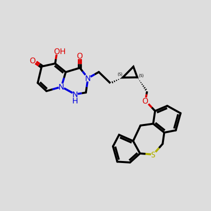 O=C1c2c(O)c(=O)ccn2NCN1CC[C@@H]1C[C@@H]1COc1cccc2c1Cc1ccccc1SC2